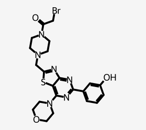 O=C(CBr)N1CCN(Cc2nc3nc(-c4cccc(O)c4)nc(N4CCOCC4)c3s2)CC1